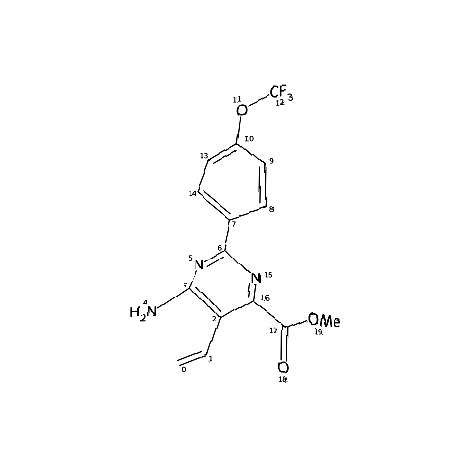 C=Cc1c(N)nc(-c2ccc(OC(F)(F)F)cc2)nc1C(=O)OC